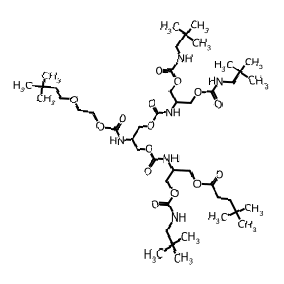 CC(C)(C)CCOCCOC(=O)NC(COC(=O)NC(COC(=O)CCC(C)(C)C)COC(=O)NCC(C)(C)C)COC(=O)NC(COC(=O)NCC(C)(C)C)COC(=O)NCC(C)(C)C